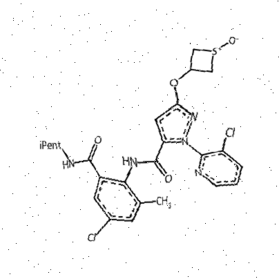 CCCC(C)NC(=O)c1cc(Cl)cc(C)c1NC(=O)c1cc(OC2C[S+]([O-])C2)nn1-c1ncccc1Cl